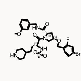 COc1cccc(CNC(=O)[C@@H]2C[C@@H](OCc3ccc(Br)cc3F)CN2C(=O)[C@@H](CCC2CCNCC2)NS(C)(=O)=O)c1